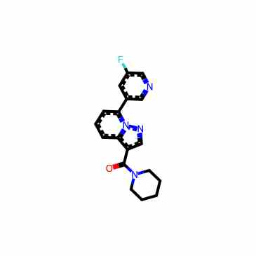 O=C(c1cnn2c(-c3cncc(F)c3)cccc12)N1CCCCC1